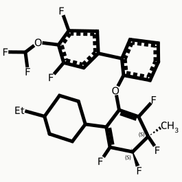 CCC1CCC(C2=C(F)[C@H](F)[C@](C)(F)C(F)=C2Oc2ccccc2-c2cc(F)c(OC(F)F)c(F)c2)CC1